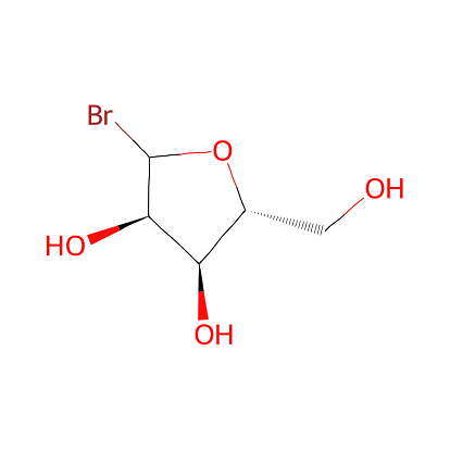 OC[C@H]1OC(Br)[C@H](O)[C@@H]1O